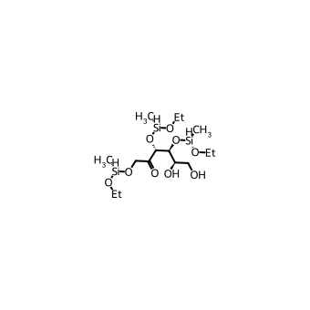 CCO[SiH](C)OCC(=O)[C@H](O[SiH](C)OCC)[C@@H](O[SiH](C)OCC)[C@H](O)CO